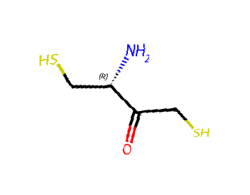 N[C@@H](CS)C(=O)CS